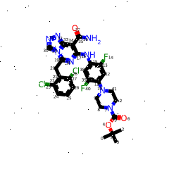 CC(C)(C)OC(=O)N1CCN(c2cc(F)c(Nc3nc(Cc4c(Cl)cccc4Cl)n4cnnc4c3C(N)=O)cc2F)CC1